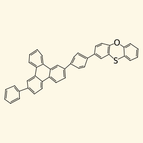 c1ccc(-c2ccc3c4ccc(-c5ccc(-c6ccc7c(c6)Sc6ccccc6O7)cc5)cc4c4ccccc4c3c2)cc1